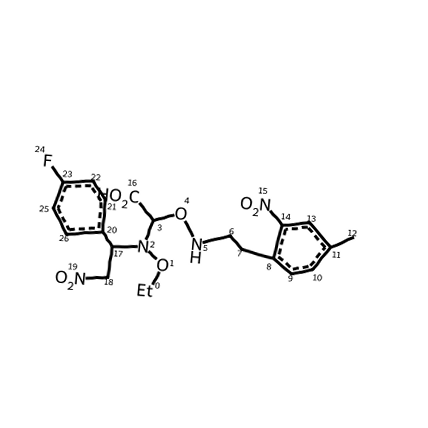 CCON(C(ONCCc1ccc(C)cc1[N+](=O)[O-])C(=O)O)C(C[N+](=O)[O-])c1ccc(F)cc1